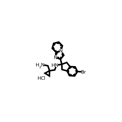 Cl.NCC1(CNC2(c3cn4ccccc4n3)Cc3ccc(Br)cc3C2)CC1